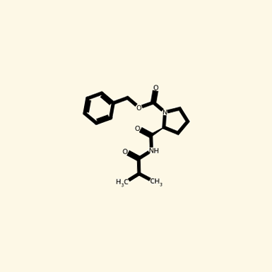 CC(C)C(=O)NC(=O)[C@@H]1CCCN1C(=O)OCc1ccccc1